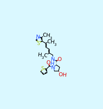 C/C(=C\C=C(/C)c1scnc1C)CNC(=O)[C@@H]1C[C@@H](O)CN1C(=O)c1cccs1